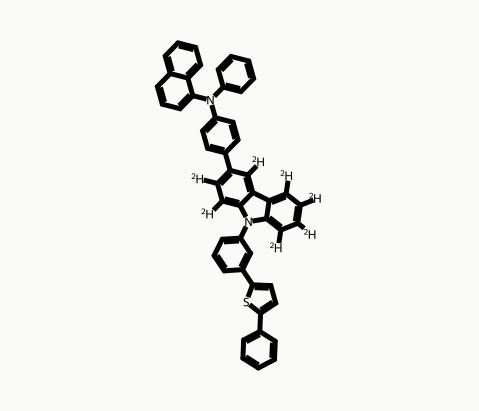 [2H]c1c([2H])c([2H])c2c(c1[2H])c1c([2H])c(-c3ccc(N(c4ccccc4)c4cccc5ccccc45)cc3)c([2H])c([2H])c1n2-c1cccc(-c2ccc(-c3ccccc3)s2)c1